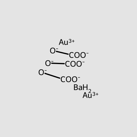 O=C([O-])[O-].O=C([O-])[O-].O=C([O-])[O-].[Au+3].[Au+3].[BaH2]